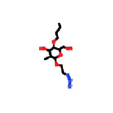 CCCCO[C@@H]1C(CO)O[C@@H](OCCN=[N+]=[N-])[C@@H](C)C1O